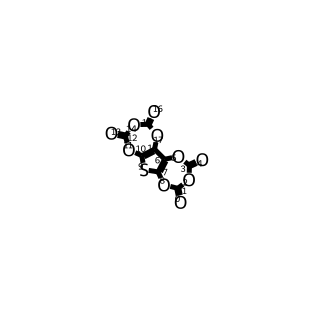 O=c1oc(=O)oc2c(o1)sc1oc(=O)oc(=O)oc12